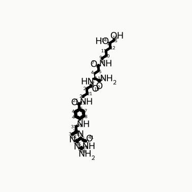 NC(=O)[C@H](CCC(=O)NCCCC[C@H](O)CO)NC(=O)CCCNC(=O)c1ccc(NCc2cnc3nc(N)[nH]c(=O)c3n2)cc1